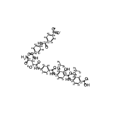 COC(C(=O)Nc1ccc(C(=O)Nc2ccc(C(=O)Nc3ccc(C(=O)O)cc3OC(C)C)c(O)c2OC(C)C)cc1)C(NC(=O)c1ccc(NC(=O)c2ccc([N+](=O)[O-])cc2)cc1)C(N)=O